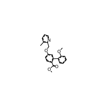 COC(=O)c1ccc(OCc2ncccc2C)cc1-c1ccccc1OC